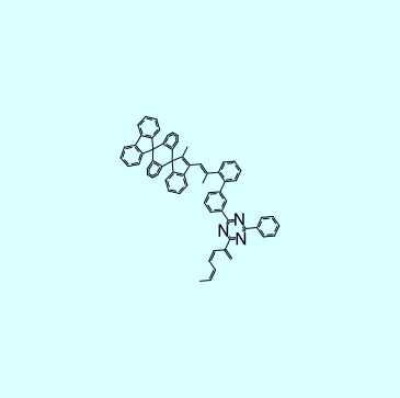 C=C(/C=C\C=C/C)c1nc(-c2ccccc2)nc(-c2cccc(-c3ccccc3/C(C)=C/C3=C(C)C4(c5ccccc53)c3ccccc3C3(c5ccccc5-c5ccccc53)c3ccccc34)c2)n1